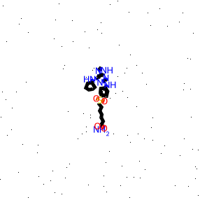 NOC(=O)CCCCCCS(=O)(=O)c1ccc(Nc2nc(NC3CCCCC3)c3nc[nH]c3n2)cc1